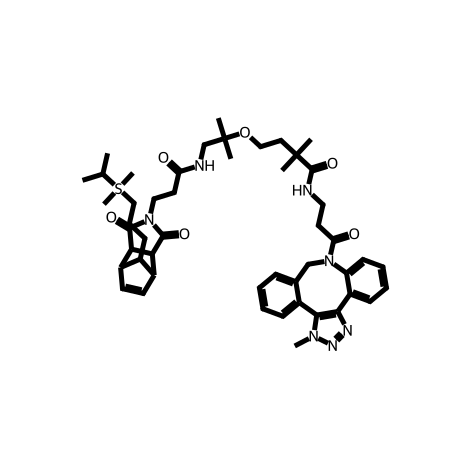 CC(C)S(C)(C)CCCC1C2C=CC1C1C(=O)N(CCC(=O)NCC(C)(C)OCCC(C)(C)C(=O)NCCC(=O)N3Cc4ccccc4-c4c(nnn4C)-c4ccccc43)C(=O)C21